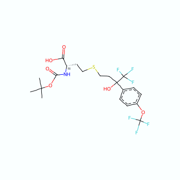 CC(C)(C)OC(=O)N[C@@H](CCSCCC(O)(c1ccc(OC(F)(F)F)cc1)C(F)(F)F)C(=O)O